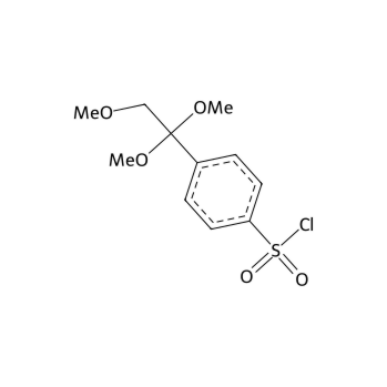 COCC(OC)(OC)c1ccc(S(=O)(=O)Cl)cc1